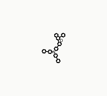 c1ccc(-c2ccc(N(c3ccc(-c4ccccc4)cc3)c3ccc(-c4ccc5oc6c(-c7ccccc7)c7ccccc7cc6c5c4)cc3)cc2)cc1